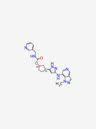 Cn1ncc2cncc(Nc3cc([C@H]4CC[C@@H](OC(=O)NCc5cccnc5)C4)[nH]n3)c21